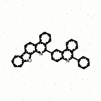 c1ccc(-c2nc3ccc(-c4nc5c(ccc6c7ccccc7oc65)c5ccccc45)cc3c3ccccc23)cc1